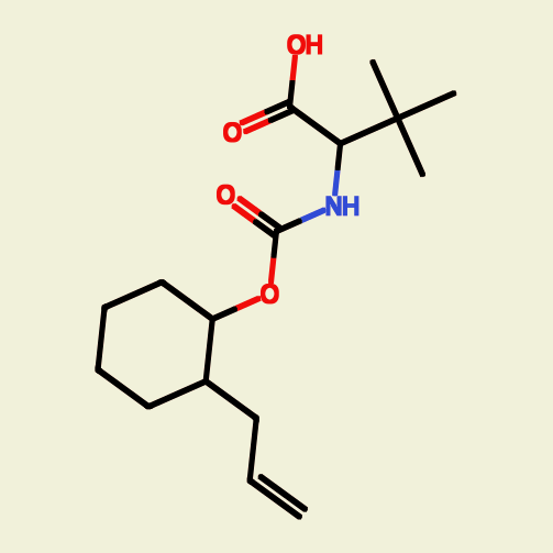 C=CCC1CCCCC1OC(=O)NC(C(=O)O)C(C)(C)C